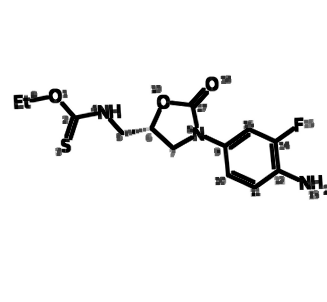 CCOC(=S)NC[C@H]1CN(c2ccc(N)c(F)c2)C(=O)O1